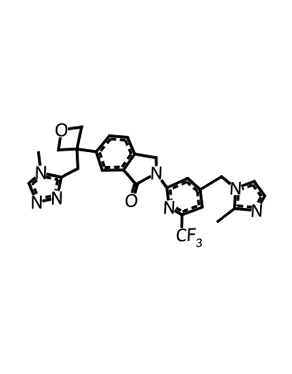 Cc1nccn1Cc1cc(N2Cc3ccc(C4(Cc5nncn5C)COC4)cc3C2=O)nc(C(F)(F)F)c1